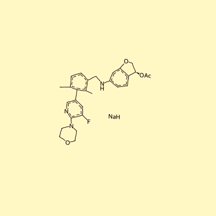 CC(=O)O[C@@H]1COc2cc(NCc3ccc(C)c(-c4cnc(N5CCOCC5)c(F)c4)c3C)ccc21.[NaH]